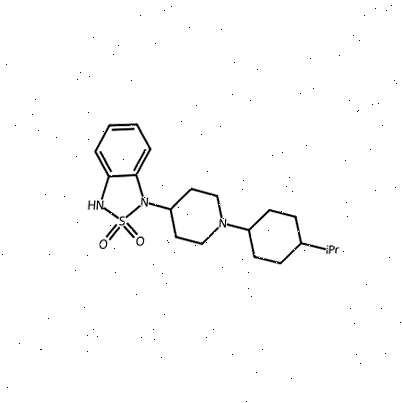 CC(C)C1CCC(N2CCC(N3c4ccccc4NS3(=O)=O)CC2)CC1